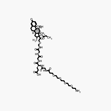 CCC(=O)O[C@]1(C(=O)COCNC(=O)CNC(=O)CNC(=O)[C@H](CCC(=O)O)NC(=O)CNC(=O)CCOCCOCCOCCOCCN)[C@@H](C)CC2[C@@H]3CCC4=CC(=O)C=C[C@]4(C)[C@@]3(Cl)[C@@H](O)C[C@@]21C